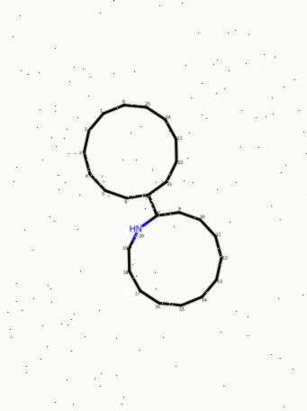 C1CCCCCCC(C2CCCCCCCCCCCN2)CCCCC1